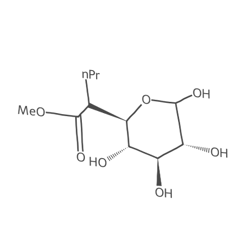 CCCC(C(=O)OC)[C@H]1OC(O)[C@H](O)[C@@H](O)[C@@H]1O